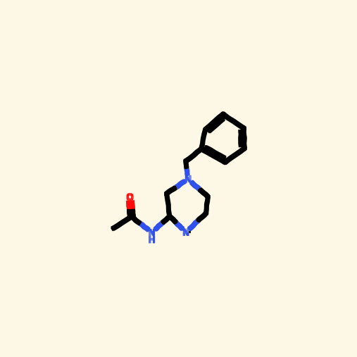 CC(=O)NC1CN(Cc2ccccc2)CC[N]1